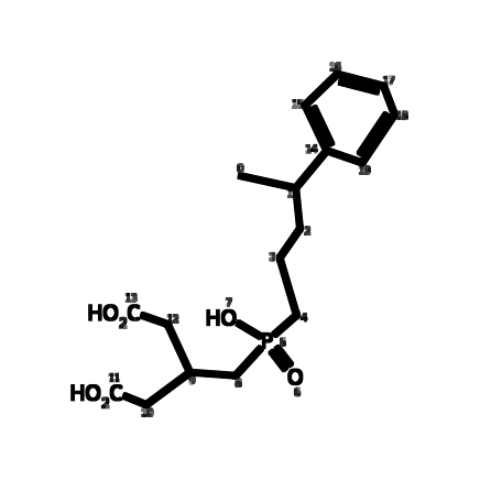 CC(CCCP(=O)(O)CC(CC(=O)O)CC(=O)O)c1ccccc1